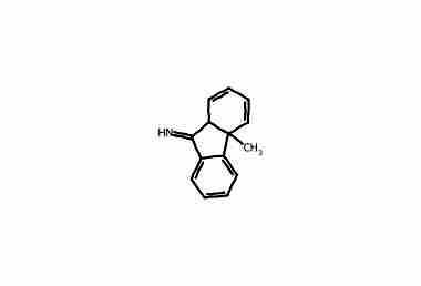 CC12C=CC=CC1C(=N)c1ccccc12